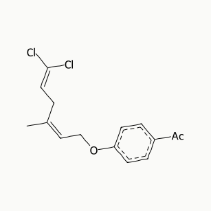 CC(=O)c1ccc(OCC=C(C)CC=C(Cl)Cl)cc1